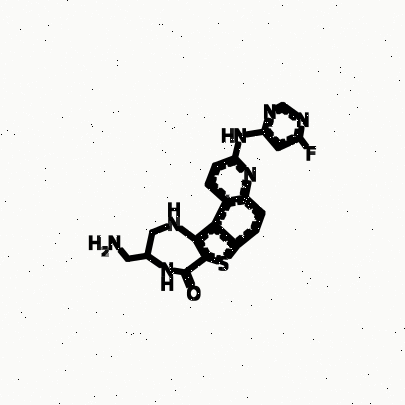 NCC1CNc2c(sc3ccc4nc(Nc5cc(F)ncn5)ccc4c23)C(=O)N1